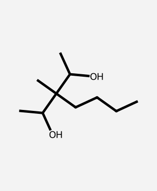 CCCCC(C)(C(C)O)C(C)O